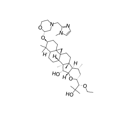 CCO[C@@H]([C@H]1C[C@@H](C)[C@H]2[C@H](O1)[C@H](O)[C@@]1(C)[C@@H]3CC[C@H]4C(C)(C)[C@@H](O[C@H]5CN(Cc6nccn6C)CCO5)CCC45C[C@@]35CC[C@]21C)C(C)(C)O